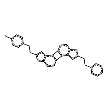 Fc1ccc(CCc2cc3c4c(ccc3s2)-c2c-4ccc3sc(CCc4ccccc4)cc23)cc1